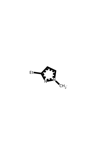 [CH2]n1ccc(CC)n1